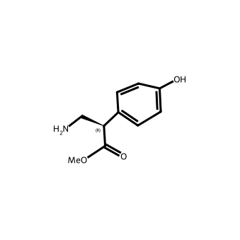 COC(=O)[C@@H](CN)c1ccc(O)cc1